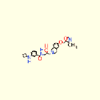 Cc1ncoc1COc1ccc2c(c1)CCN(CC(O)CNC(=O)c1cccc(NC3CCC3)c1)C2